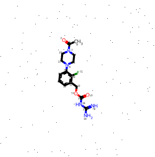 CC(=O)N1CCN(c2cccc(COC(=O)NC(=N)N)c2F)CC1